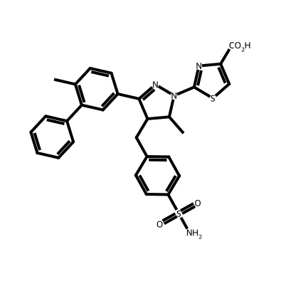 Cc1ccc(C2=NN(c3nc(C(=O)O)cs3)C(C)C2Cc2ccc(S(N)(=O)=O)cc2)cc1-c1ccccc1